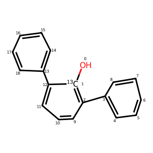 O[13c]1c(-c2ccccc2)cccc1-c1ccccc1